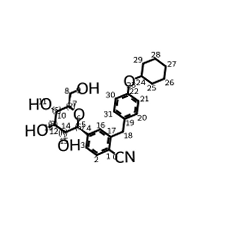 N#Cc1ccc([C@@H]2O[C@H](CO)[C@@H](O)[C@H](O)[C@H]2O)cc1Cc1ccc(OC2CCCCC2)cc1